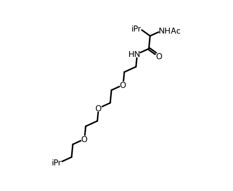 CC(=O)NC(C(=O)NCCOCCOCCOCCC(C)C)C(C)C